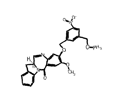 COc1cc2c(cc1OCc1cc(COP)cc([N+](=O)[O-])c1)N=C[C@@H]1Cc3ccccc3N1C2=O